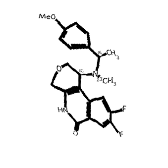 COc1ccc([C@@H](C)N([13CH3])[C@@H]2COCc3[nH]c(=O)c4cc(F)c(F)cc4c32)cc1